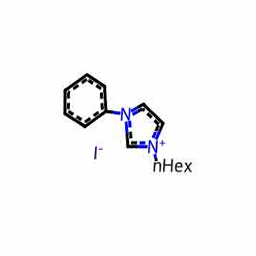 CCCCCC[n+]1ccn(-c2ccccc2)c1.[I-]